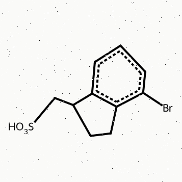 O=S(=O)(O)CC1CCc2c(Br)cccc21